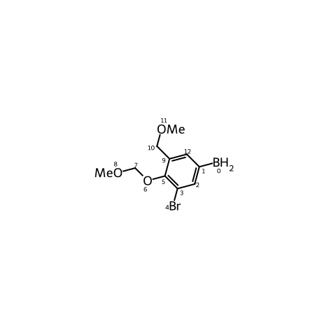 Bc1cc(Br)c(OCOC)c(COC)c1